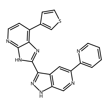 c1ccc(-c2cc3c(-c4nc5c(-c6ccsc6)ccnc5[nH]4)n[nH]c3cn2)nc1